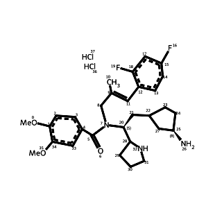 COc1ccc(C(=O)N(CC(C)=Cc2ccc(F)cc2F)[C@@H](CC2CC[C@@H](N)C2)C2CCCN2)cc1OC.Cl.Cl